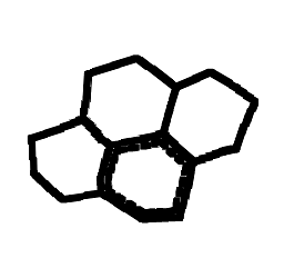 c1cc2c3c4c1CCCC4CCC3CCC2